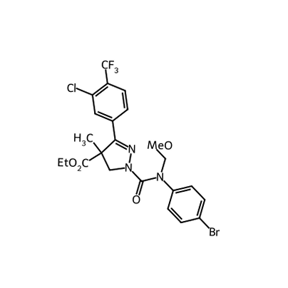 CCOC(=O)C1(C)CN(C(=O)N(COC)c2ccc(Br)cc2)N=C1c1ccc(C(F)(F)F)c(Cl)c1